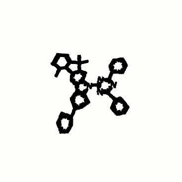 CC1C=CC=C2C1c1cc3c4cc(-c5ccccc5)ccc4n(-c4nc(-c5ccccc5)nc(-c5ccccc5)n4)c3cc1C2(C)C